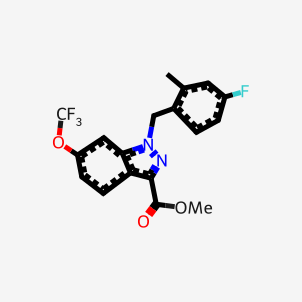 COC(=O)c1nn(Cc2ccc(F)cc2C)c2cc(OC(F)(F)F)ccc12